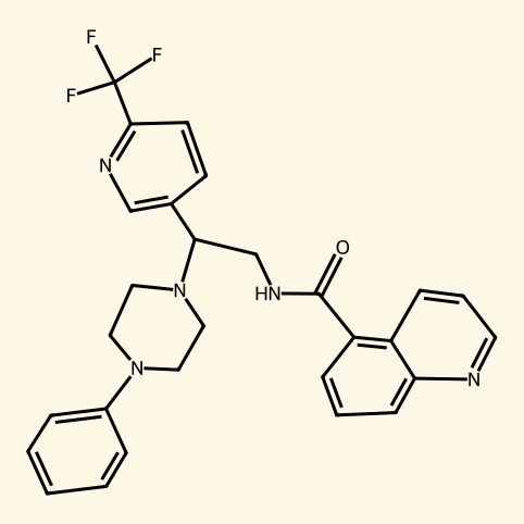 O=C(NCC(c1ccc(C(F)(F)F)nc1)N1CCN(c2ccccc2)CC1)c1cccc2ncccc12